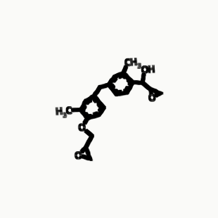 Cc1cc(Cc2ccc(C(O)C3CO3)c(C)c2)ccc1OCC1CO1